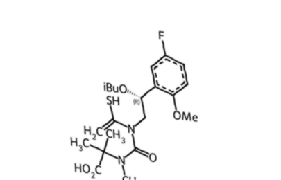 C=C(S)N(C[C@H](OCC(C)C)c1cc(F)ccc1OC)C(=O)N(C)C(C)(C)C(=O)O